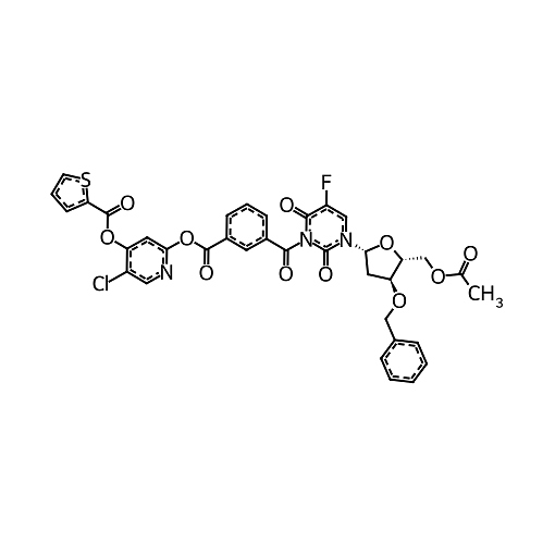 CC(=O)OC[C@H]1O[C@@H](n2cc(F)c(=O)n(C(=O)c3cccc(C(=O)Oc4cc(OC(=O)c5cccs5)c(Cl)cn4)c3)c2=O)C[C@@H]1OCc1ccccc1